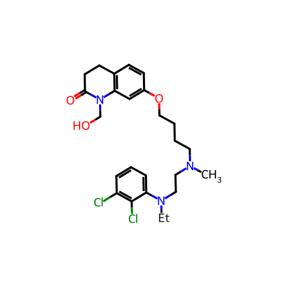 CCN(CCN(C)CCCCOc1ccc2c(c1)N(CO)C(=O)CC2)c1cccc(Cl)c1Cl